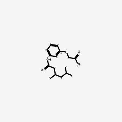 CC(C)CC(C)CC(=O)O.O=C(O)COc1ccccc1